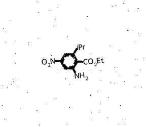 CCOC(=O)c1c(N)cc([N+](=O)[O-])cc1C(C)C